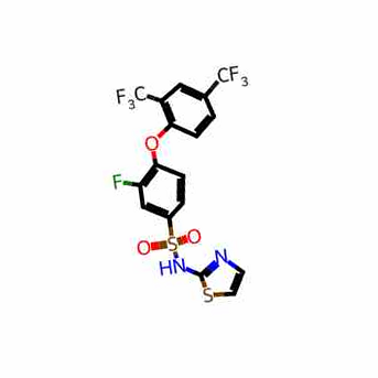 O=S(=O)(Nc1nccs1)c1ccc(Oc2ccc(C(F)(F)F)cc2C(F)(F)F)c(F)c1